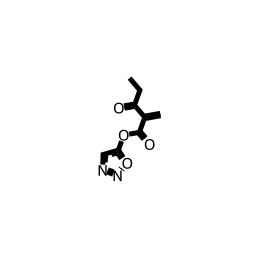 C=C(C(=O)CC)C(=O)Oc1cnno1